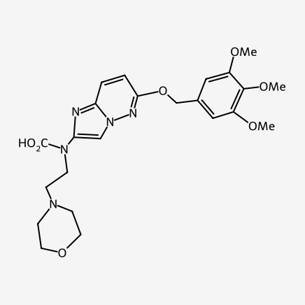 COc1cc(COc2ccc3nc(N(CCN4CCOCC4)C(=O)O)cn3n2)cc(OC)c1OC